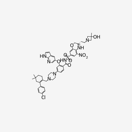 CC1(C)CCC(CN2CCN(c3ccc(C(=O)NS(=O)(=O)c4cc5c(c([N+](=O)[O-])c4)N[C@@H](CCN4CC(C)(O)C4)CO5)c(Oc4cnc5[nH]ccc5c4)c3)CC2)=C(c2ccc(Cl)cc2)C1